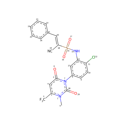 Cn1c(C(F)(F)F)cc(=O)n(-c2ccc(Cl)c(NS(=O)(=O)/C(C#N)=C/c3ccccc3)c2)c1=O